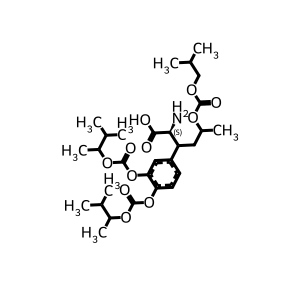 CC(C)COC(=O)OC(C)CC(c1ccc(OC(=O)OC(C)C(C)C)c(OC(=O)OC(C)C(C)C)c1)[C@H](N)C(=O)O